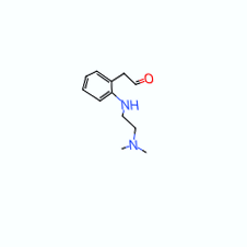 CN(C)CCNc1ccccc1CC=O